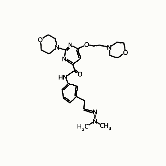 CN(C)/N=C/Cc1cccc(NC(=O)c2cc(OCCN3CCOCC3)nc(N3CCOCC3)n2)c1